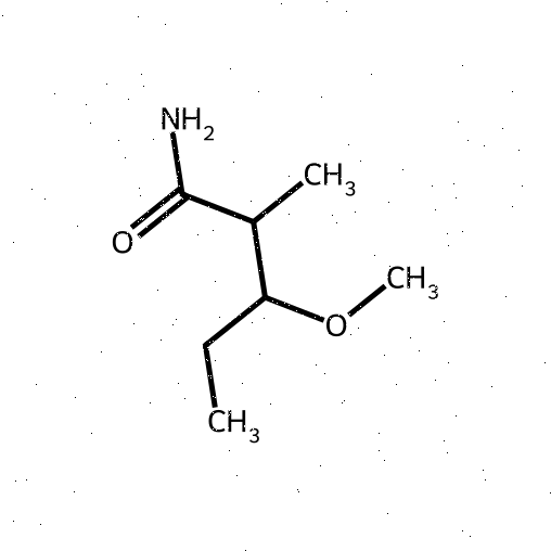 CCC(OC)C(C)C(N)=O